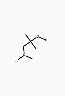 CCN(C)CC(C)(C)OC(C)(C)C